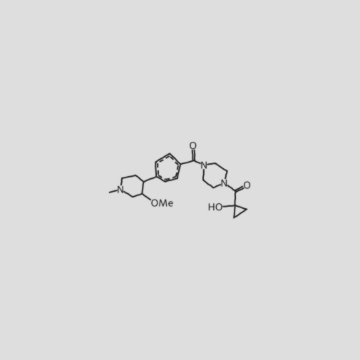 COC1CN(C)CCC1c1ccc(C(=O)N2CCN(C(=O)C3(O)CC3)CC2)cc1